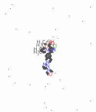 CC1(C)CCN(c2c(-c3ccc4c(c3)CCN(c3nccc(N5CCOCC5)n3)C4)cnc(Cl)c2[C@H](OC(C)(C)C)C(=O)O)CC1